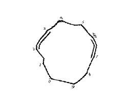 [CH]1CC=CCCC=CCC1